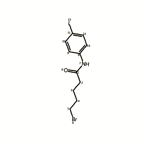 O=C(CCCCBr)Nc1ccc(I)cc1